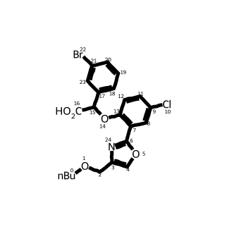 CCCCOCc1coc(-c2cc(Cl)ccc2OC(C(=O)O)c2cccc(Br)c2)n1